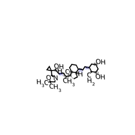 C=C1/C(=C\C=C2/CCC[C@]3(C)[C@@H]([C@H](C)/C=C/[C@H](O)C4(C5=NCC(C)(C)O5)CC4)CC[C@@H]23)C[C@@H](O)C[C@@H]1O